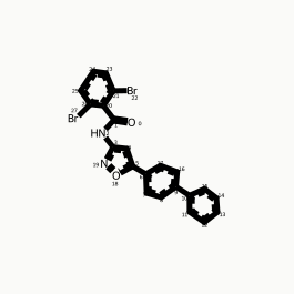 O=C(Nc1cc(-c2ccc(-c3ccccc3)cc2)on1)c1c(Br)cccc1Br